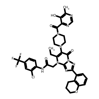 CCc1c(N2CCN(C(=O)c3ncnc(C)c3O)CC2)c(=O)n2nc(-c3cccc4c3CCCO4)nc2n1CC(=O)Nc1ccc(C(F)(F)F)cc1Cl